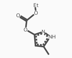 CCOC(=O)Oc1cc(C)[nH]n1